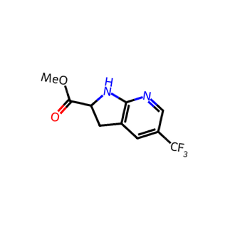 COC(=O)C1Cc2cc(C(F)(F)F)cnc2N1